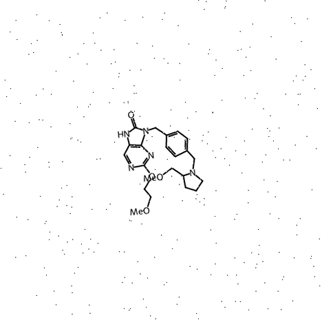 COCCOc1ncc2[nH]c(=O)n(Cc3ccc(CN4CCCC4COC)cc3)c2n1